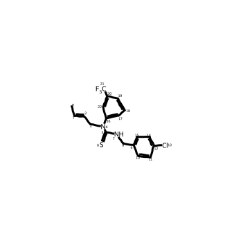 C/C=C/CN(C(=S)NCc1ccc(Cl)cc1)c1cccc(C(F)(F)F)c1